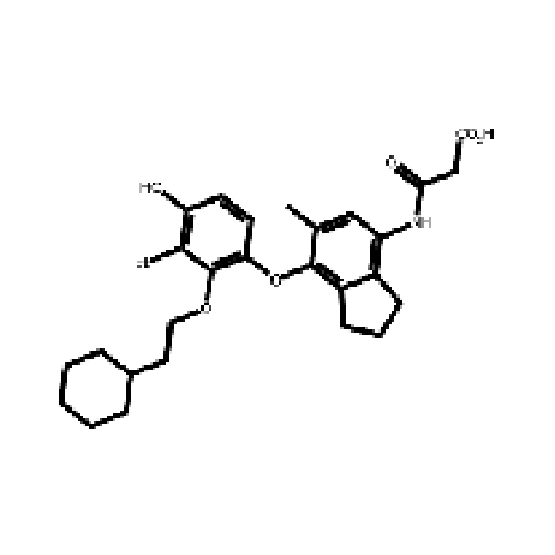 CCc1c(O)ccc(Oc2c(C)cc(NC(=O)CC(=O)O)c3c2CCC3)c1OCCC1CCCCC1